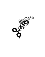 COc1ccnc(C(=O)N[C@@H](C)C(=O)O[C@@H](C)[C@H](c2ccccc2)c2ccc(C)cc2)c1O